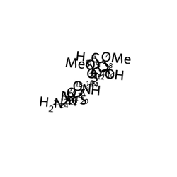 COC(=O)c1c(C)c(OC)cc(O)c1CSCCNC(=O)C(=S)c1nc(CN)no1